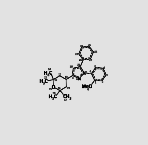 COc1ccccc1-n1nc(C2CC(C)(C)OC(C)(C)C2)cc1-c1ccccc1